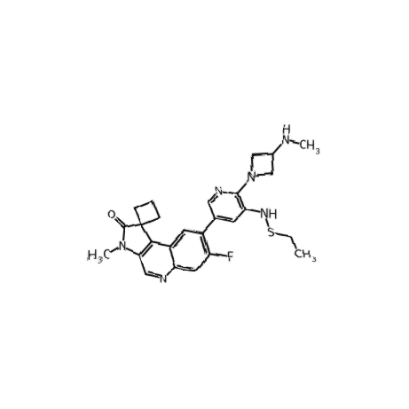 CCSNc1cc(-c2cc3c4c(cnc3cc2F)N(C)C(=O)C42CCC2)cnc1N1CC(NC)C1